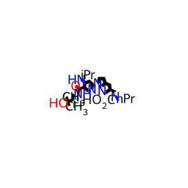 CCCN(Cc1cnc2c(ccn2-c2cc(NC(C)C)c(C(=O)NCC(F)C(C)(C)O)cn2)c1)C(=O)O